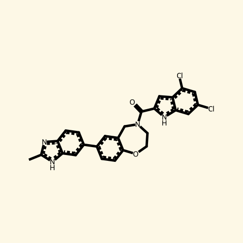 Cc1nc2ccc(-c3ccc4c(c3)CN(C(=O)c3cc5c(Cl)cc(Cl)cc5[nH]3)CCO4)cc2[nH]1